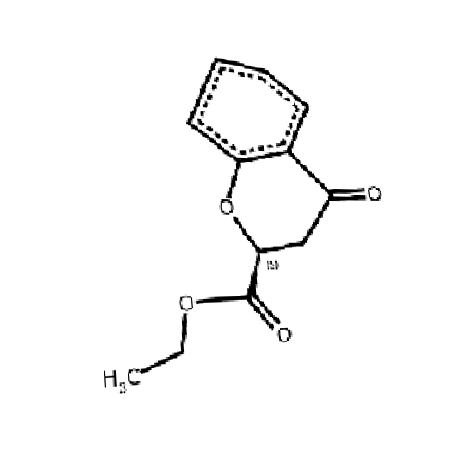 CCOC(=O)[C@@H]1CC(=O)c2ccccc2O1